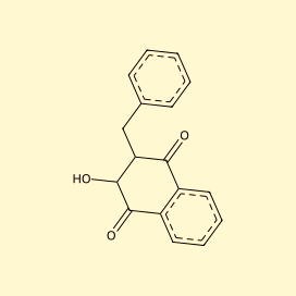 O=C1c2ccccc2C(=O)C(Cc2ccccc2)C1O